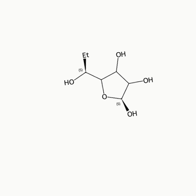 CC[C@H](O)C1O[C@H](O)C(O)C1O